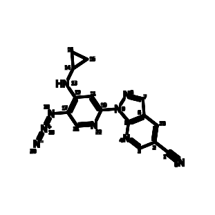 N#Cc1cnc2c(cnn2-c2cc(NC3CC3)c(N=[N+]=[N-])cn2)c1